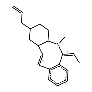 C=CCC1CCC2C(/C=C/c3ccccc3/C(=C\C)N2C)C1